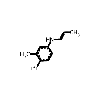 CC=CNc1ccc(C(C)C)c(C)c1